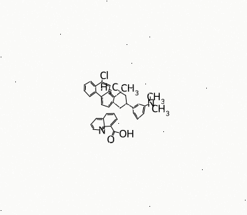 CN(C)c1cccc(C2Cc3ccc4c(cc(Cl)c5ccccc54)c3C(C)(C)C2)c1.O=C(O)c1cccc2cccnc12